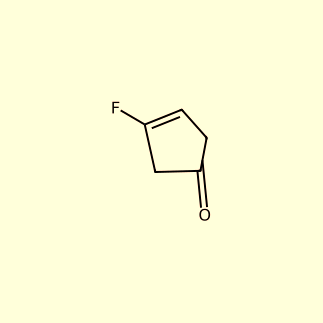 O=C1CC=C(F)C1